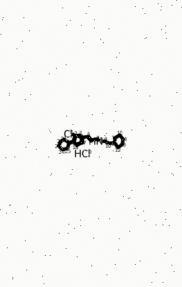 Cl.Clc1cc(C=CCNCCC2CCCCC2)ccc1C1CCCCC1